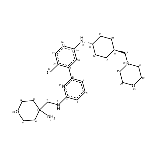 NC1(CNc2cccc(-c3cc(N[C@H]4CC[C@H](CN5CCOCC5)CC4)ncc3Cl)n2)CCOCC1